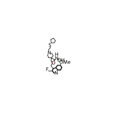 COc1ccc2ncc(CF)c(CCCC3(C(=O)NO)CCN(CCSC4CCCC4)CC3)c2c1